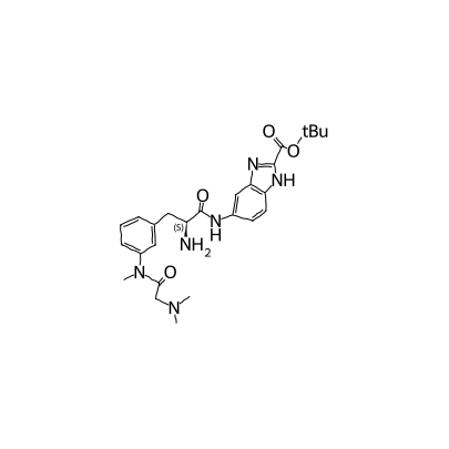 CN(C)CC(=O)N(C)c1cccc(C[C@H](N)C(=O)Nc2ccc3[nH]c(C(=O)OC(C)(C)C)nc3c2)c1